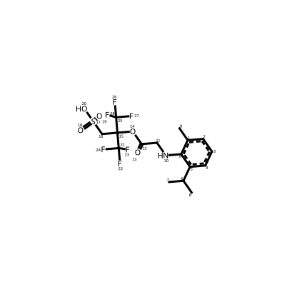 Cc1cccc(C(C)C)c1NCC(=O)OC(CS(=O)(=O)O)(C(F)(F)F)C(F)(F)F